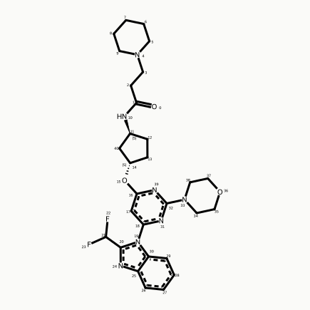 O=C(CCN1CCCCC1)N[C@H]1CC[C@H](Oc2cc(-n3c(C(F)F)nc4ccccc43)nc(N3CCOCC3)n2)C1